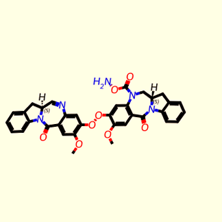 COc1cc2c(cc1OOc1cc3c(cc1OC)C(=O)N1c4ccccc4C[C@H]1CN3C(=O)ON)N=C[C@@H]1Cc3ccccc3N1C2=O